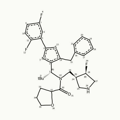 CC(C)(C)[C@H](c1nc(-c2cc(F)ccc2F)sc1Cc1ccccc1)N(C[C@@H]1CNC[C@@H]1F)C(=O)C1CCCO1